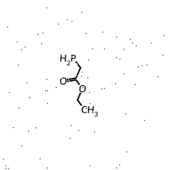 CCOC(=O)CP